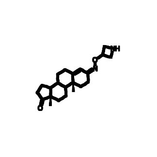 C[C@]12CC/C(=N/OC3CNC3)C=C1CCC1C2CC[C@]2(C)C(=O)CCC12